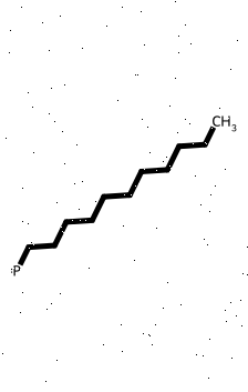 CCCCCCCCCCC[P]